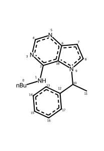 CCCCNc1ncnc2ccn(C(C)c3ccccc3)c12